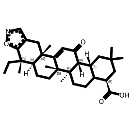 CC[C@]1(C)c2oncc2C[C@]2(C)C3=CC(=O)[C@@H]4[C@@H]5CC(C)(C)C[C@@H](C(=O)O)C5CC[C@@]4(C)[C@]3(C)CC[C@H]21